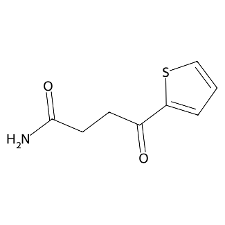 NC(=O)CCC(=O)c1cccs1